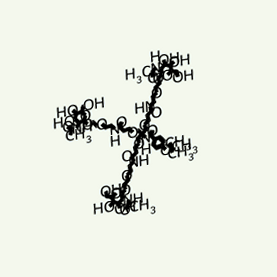 CC(=O)NC1C(OCCOCCNC(=O)CCOCC(COCCC(=O)NCCOCCOC2OC(CO)C(O)C(O)C2NC(C)=O)(COCCC(=O)NCCOCCOC2OC(CO)C(O)C(O)C2NC(C)=O)NC(=O)c2ccc(OC(C)(C)C)cc2)OC(CO)C(O)C1O